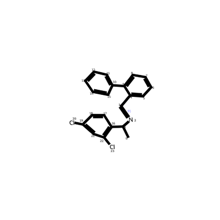 CC(/N=C/c1ccccc1-c1ccccc1)c1ccc(Cl)cc1Cl